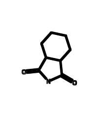 O=C1[N]C(=O)C2CCCCC12